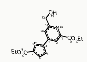 CCOC(=O)c1cc(-c2ccc(C(=O)OCC)s2)cc(CO)n1